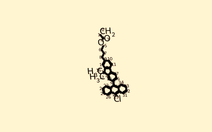 C=CC(=O)OCCCCc1ccc2c(c1)C(C)(C)c1cc(-c3c4ccccc4c(Cl)c4ccccc34)ccc1-2